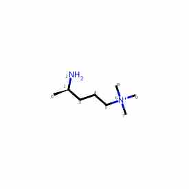 C[C@@H](N)CCC[N+](C)(C)C